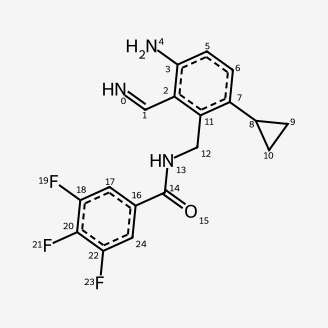 N=Cc1c(N)ccc(C2CC2)c1CNC(=O)c1cc(F)c(F)c(F)c1